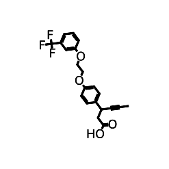 CC#CC(CC(=O)O)c1ccc(OCCOc2cccc(C(F)(F)F)c2)cc1